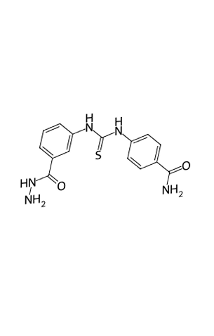 NNC(=O)c1cccc(NC(=S)Nc2ccc(C(N)=O)cc2)c1